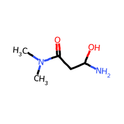 CN(C)C(=O)CC(N)O